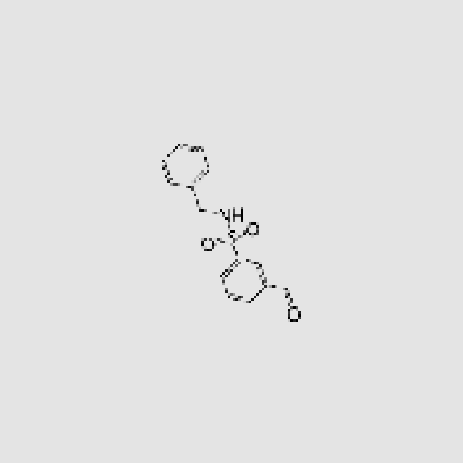 O=Cc1cccc(S(=O)(=O)NCc2ccccc2)c1